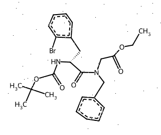 CCOC(=O)CN(Cc1ccccc1)C(=O)[C@@H](Cc1ccccc1Br)NC(=O)OC(C)(C)C